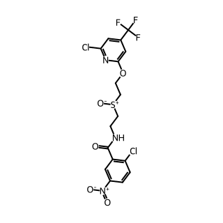 O=C(NCC[S+]([O-])CCOc1cc(C(F)(F)F)cc(Cl)n1)c1cc([N+](=O)[O-])ccc1Cl